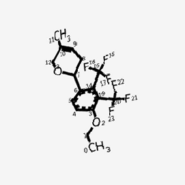 CCOc1ccc(C2CC=C(C)CO2)c(C(F)(F)F)c1C(F)(F)F